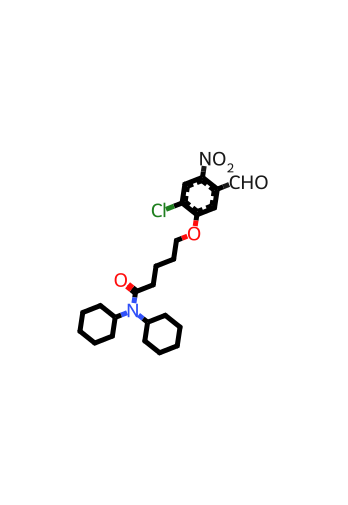 O=Cc1cc(OCCCCC(=O)N(C2CCCCC2)C2CCCCC2)c(Cl)cc1[N+](=O)[O-]